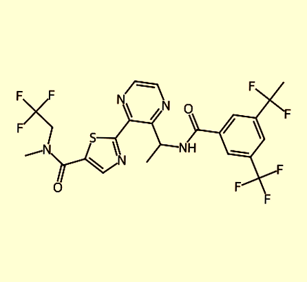 CC(NC(=O)c1cc(C(C)(F)F)cc(C(F)(F)F)c1)c1nccnc1-c1ncc(C(=O)N(C)CC(F)(F)F)s1